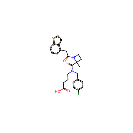 CC1(C(=O)N(CCCC(=O)O)Cc2ccc(Cl)cc2)CCN1C(=O)Cc1cccc2sccc12